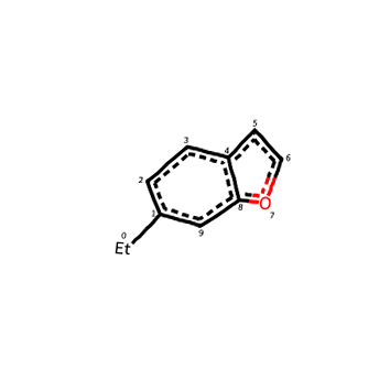 CCc1ccc2[c]coc2c1